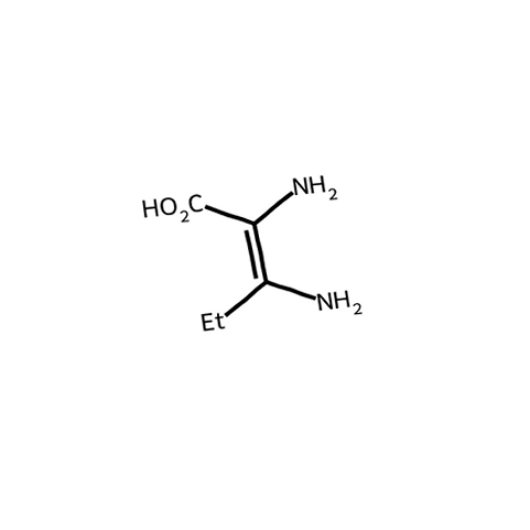 CC/C(N)=C(/N)C(=O)O